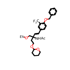 CCOCC(C=Cc1ccc(OCc2ccccc2)c(C(F)(F)F)c1)(CCOC1CCCCO1)NC(C)=O